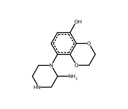 NC1CNCCN1c1ccc(O)c2c1OCCO2